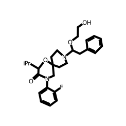 CC(C)C1OC2(CCN(C(Cc3ccccc3)OCCO)CC2)CN(c2ccccc2F)C1=O